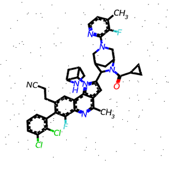 Cc1ccnc(N2CC3CC(C2)N(C(=O)C2CC2)C3c2cc3c(C)nc4c(F)c(-c5cccc(Cl)c5Cl)c(CCC#N)cc4c3n2C2C3CNC2C3)c1F